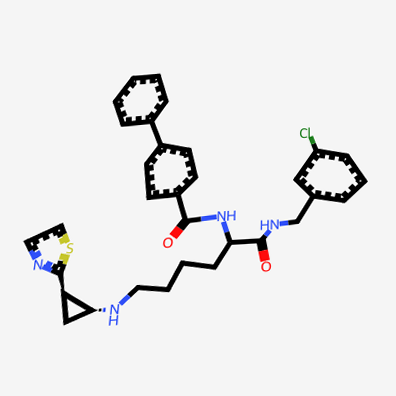 O=C(NC(CCCCN[C@@H]1C[C@H]1c1nccs1)C(=O)NCc1cccc(Cl)c1)c1ccc(-c2ccccc2)cc1